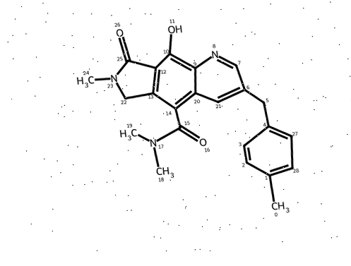 Cc1ccc(Cc2cnc3c(O)c4c(c(C(=O)N(C)C)c3c2)CN(C)C4=O)cc1